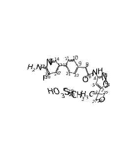 CC1(c2cc(NC(=O)Cc3ccc(-c4cnc(N)c(F)c4)cc3)no2)COC1.CS(=O)(=O)O